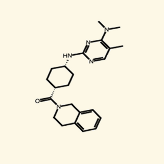 Cc1cnc(N[C@H]2CC[C@@H](C(=O)N3CCc4ccccc4C3)CC2)nc1N(C)C